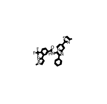 Cc1csc(-c2ccn3c(NC(=O)c4ccc(C(F)(F)F)c(-c5ccn(C)n5)c4)c(-c4ccccc4)nc3c2)n1